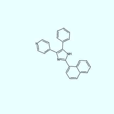 c1ccc(-c2[nH]c(-c3cccc4ccccc34)nc2-c2ccncc2)cc1